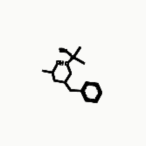 CC(O)CC(CO[Si](C)(C)C(C)(C)C)Cc1ccccc1